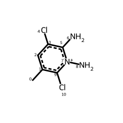 Cc1cc(Cl)c(N)[n+](N)c1Cl